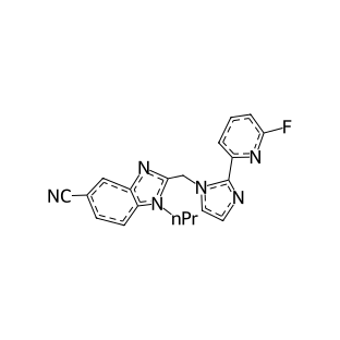 CCCn1c(Cn2ccnc2-c2cccc(F)n2)nc2cc(C#N)ccc21